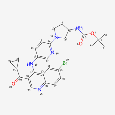 CC(C)(C)OC(=O)NC1CCN(c2ccc(Nc3c(C(=O)C4CC4)cnc4ccc(Br)cc34)cn2)C1